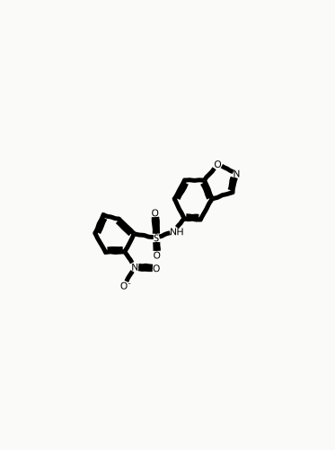 O=[N+]([O-])c1ccccc1S(=O)(=O)Nc1ccc2oncc2c1